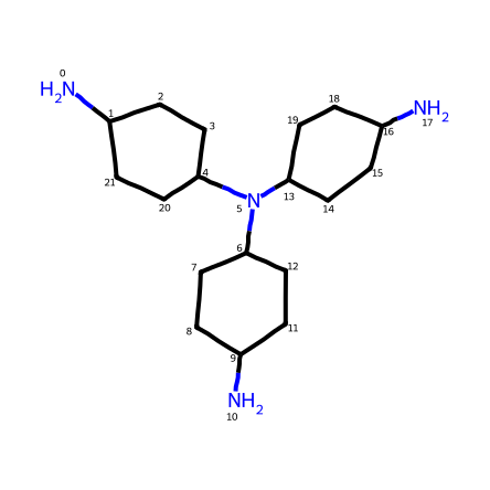 NC1CCC(N(C2CCC(N)CC2)C2CCC(N)CC2)CC1